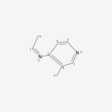 C/C=N\c1ccncc1C